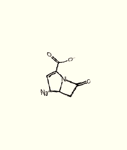 O=C([O-])C1=CCC2CC(=O)N12.[Na+]